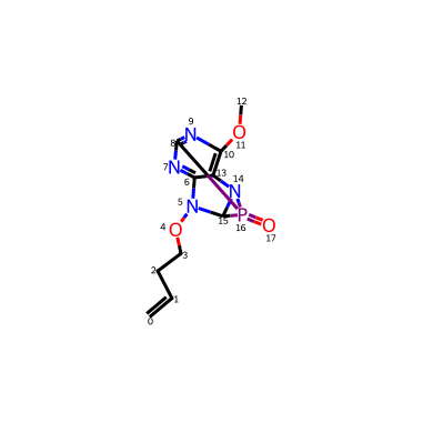 C=CCCON1c2nc3nc(OC)c2N2C1P32=O